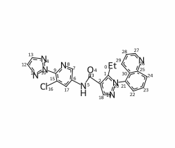 CCc1c(C(=O)Nc2cnc(-n3nccn3)c(Cl)c2)cnn1-c1cccc2ncccc12